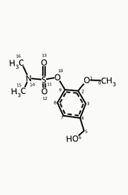 COc1cc(CO)ccc1OS(=O)(=O)N(C)C